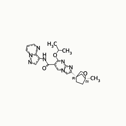 CC(C)Oc1nc2nc([C@@]34CC[C@@](C)(C3)OC4)cn2cc1C(=O)Nc1cnn2cccnc12